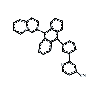 N#Cc1ccnc(-c2cccc(-c3c4ccccc4c(-c4ccc5ccccc5c4)c4ccccc34)c2)c1